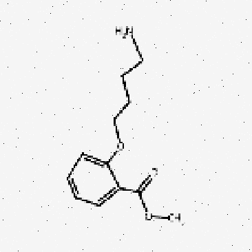 COC(=O)c1ccccc1OCCCCN